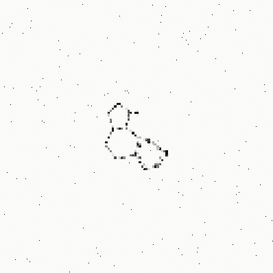 c1cc2c(cn1)C1NCCC1CC2